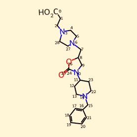 O=C(O)CCN1CCN(CC2CN(C3CCN(Cc4ccccc4)CC3)C(=O)O2)CC1